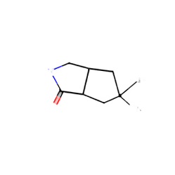 CC(C)C1(C#N)CC2CNC(=O)C2C1